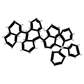 c1ccc([Si](c2ccccc2)(c2ccccc2)c2ccc(-c3c4ccccc4c(-c4cccc5ccccc45)c4ccccc34)c3ccccc23)cc1